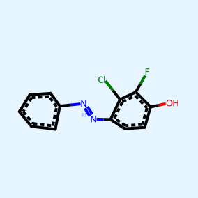 Oc1ccc(/N=N/c2ccccc2)c(Cl)c1F